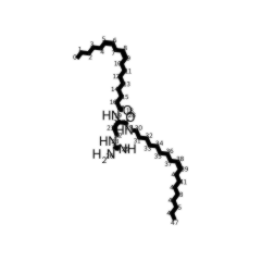 CCCCC/C=C\C/C=C\CCCCCCCC(=O)NC(CCNC(=N)N)C(=O)NCCCCCCCC/C=C\CCCCCCCC